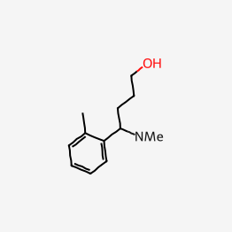 CNC(CCCO)c1ccccc1C